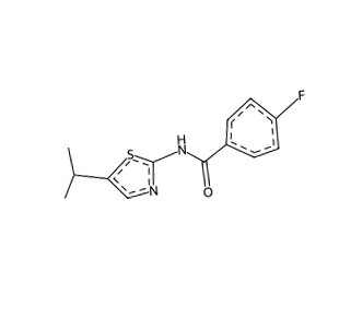 CC(C)c1cnc(NC(=O)c2ccc(F)cc2)s1